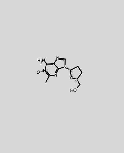 Cc1nc2c(ncn2[C@H]2CC[C@@H](CO)O2)c(N)[n+]1[O-]